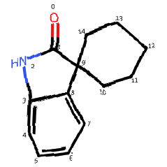 O=C1Nc2cc[c]cc2C12CCCCC2